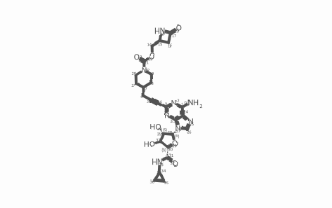 Nc1nc(C#CCC2CCN(C(=O)OCC3CC(=O)N3)CC2)nc2c1ncn2[C@@H]1O[C@H](C(=O)NC2CC2)C(O)[C@@H]1O